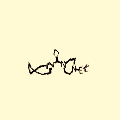 CCN1CCN(C(=O)N2CCC3(CC3)C2)CC1